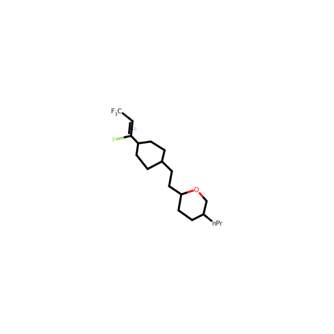 CCCC1CCC(CCC2CCC(/C(F)=C/C(F)(F)F)CC2)OC1